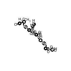 CC1(C)CCC(CN2CCN(c3ccc(C(=O)NS(=O)(=O)c4ccc(NCC5CCC(N6CCN(Cc7cccc8c7CN(C7CCC(=O)NC7=O)C8=O)CC6)CC5)c([N+](=O)[O-])c4)c(Oc4cnc5[nH]ccc5c4)c3)CC2)=C(c2ccc(Cl)cc2)C1